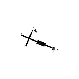 BC#CC(B)(C)C